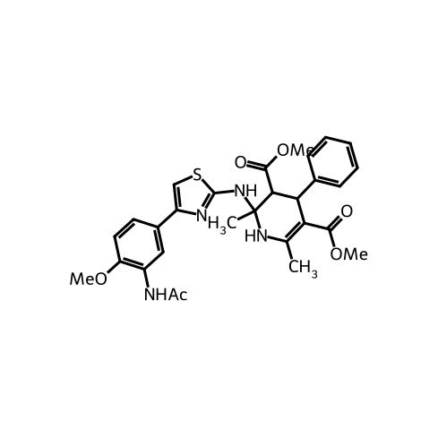 COC(=O)C1=C(C)NC(C)(Nc2nc(-c3ccc(OC)c(NC(C)=O)c3)cs2)C(C(=O)OC)C1c1ccccc1